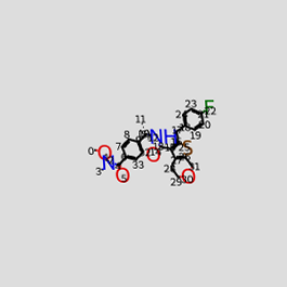 CON(C)C(=O)c1ccc([C@H](C)NC(=O)c2c(Cc3ccc(F)cc3)sc3c2CCOC3)cc1